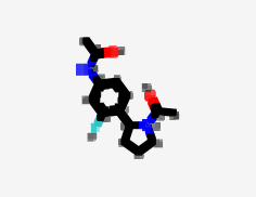 CC(=O)Nc1ccc(C2CCCN2C(C)=O)c(F)c1